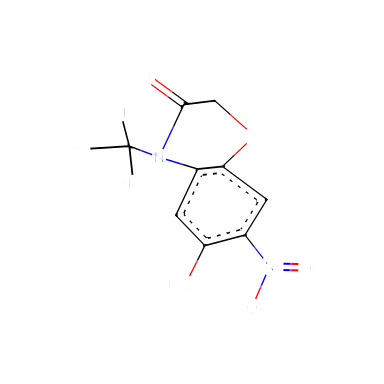 [2H]C([2H])([2H])N1C(=O)COc2cc([N+](=O)[O-])c(O)cc21